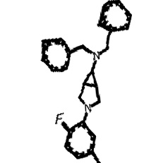 Cc1ccc(F)c(N2CC3C(C2)C3N(Cc2ccccc2)Cc2ccccc2)c1